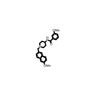 COc1cccc(C(=O)NC2CCN(Cc3ccc4cc(OC)ccc4c3)CC2)c1